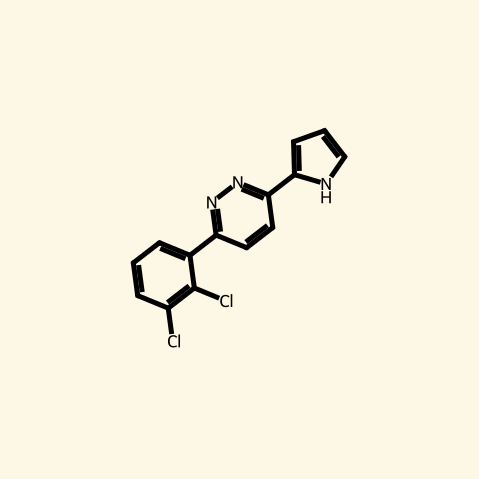 Clc1cccc(-c2ccc(-c3ccc[nH]3)nn2)c1Cl